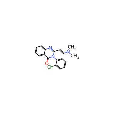 CN(C)/C=C/c1nc2ccccc2c(=O)n1-c1ccccc1Cl